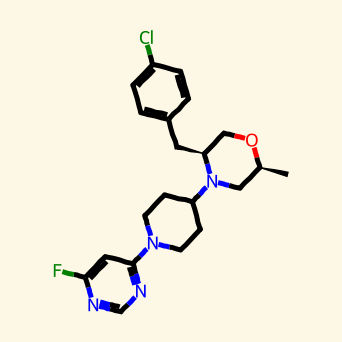 C[C@H]1CN(C2CCN(c3cc(F)ncn3)CC2)[C@@H](Cc2ccc(Cl)cc2)CO1